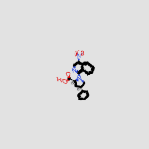 O=C(O)[C@@H]1C[C@@H](c2ccccc2)CN1c1ncc([N+](=O)[O-])c2ccccc12